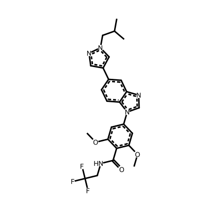 COc1cc(-n2cnc3cc(-c4cnn(CC(C)C)c4)ccc32)cc(OC)c1C(=O)NCC(F)(F)F